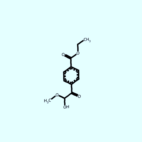 CCOC(=O)c1ccc(C(=O)C(O)OC)cc1